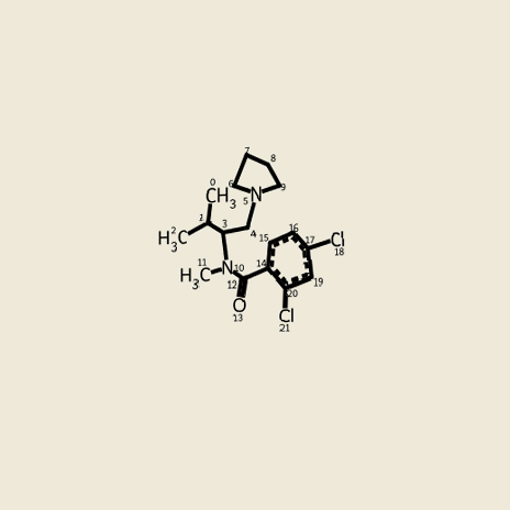 CC(C)C(CN1CCCC1)N(C)C(=O)c1ccc(Cl)cc1Cl